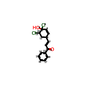 O=C(C=CC1C=CC(O)(Cl)C(Cl)C1)c1ccccc1